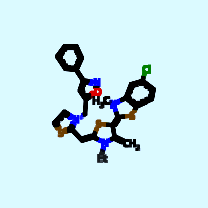 C=C1/C(=C2\Sc3ccc(Cl)cc3N2C)S/C(=C\c2scc[n+]2Cc2cc(-c3ccccc3)no2)N1CC